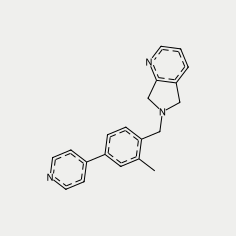 Cc1cc(-c2ccncc2)ccc1CN1Cc2cccnc2C1